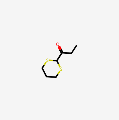 CCC(=O)C1SCCCS1